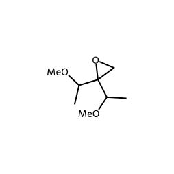 COC(C)C1(C(C)OC)CO1